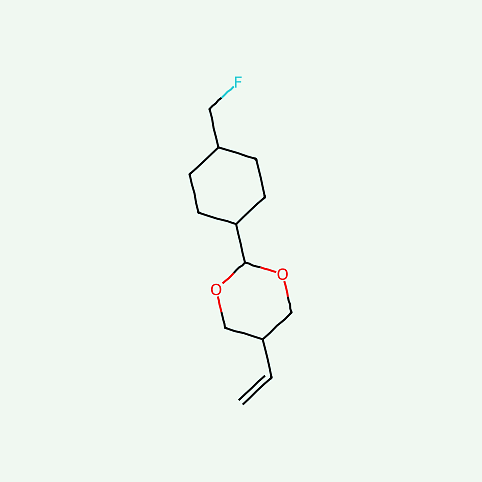 C=CC1COC(C2CCC(CF)CC2)OC1